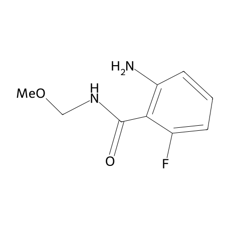 COCNC(=O)c1c(N)cccc1F